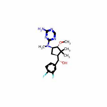 CO[C@H]1[C@H](N(C)c2ncnc(N)n2)C[C@H]([C@H](O)c2ccc(F)c(F)c2)C1(C)C